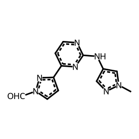 Cn1cc(Nc2nccc(-c3ccn(C=O)n3)n2)cn1